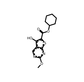 COc1ncc2c(O)c(C(=O)OC3CCCCC3)sc2n1